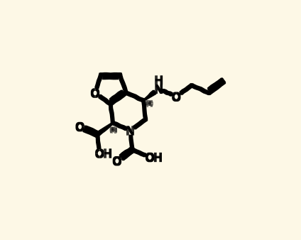 C=CCON[C@H]1CN(C(=O)O)[C@@H](C(=O)O)c2occc21